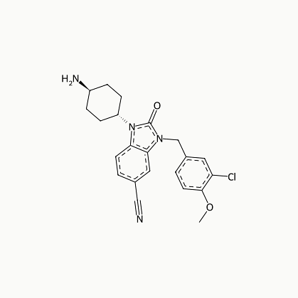 COc1ccc(Cn2c(=O)n([C@H]3CC[C@H](N)CC3)c3ccc(C#N)cc32)cc1Cl